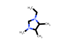 CCN1CN(C)C(C)C1C